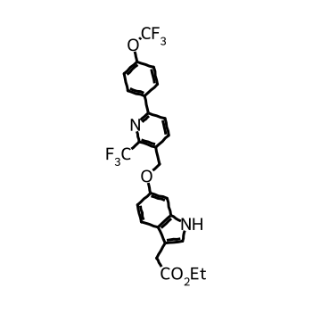 CCOC(=O)Cc1c[nH]c2cc(OCc3ccc(-c4ccc(OC(F)(F)F)cc4)nc3C(F)(F)F)ccc12